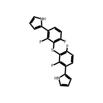 Fc1ccc(-c2ccc[nH]2)c(F)[c]1[Ti][c]1c(F)ccc(-c2ccc[nH]2)c1F